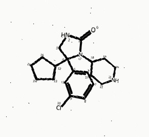 O=C1NCC(c2cccc(Cl)c2)(C2CCCC2)N1C1CCNCC1